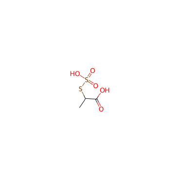 CC(SS(=O)(=O)O)C(=O)O